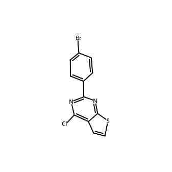 Clc1nc(-c2ccc(Br)cc2)nc2sccc12